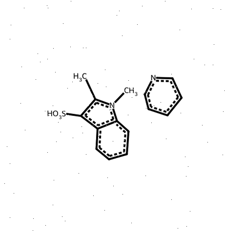 Cc1c(S(=O)(=O)O)c2ccccc2n1C.c1ccncc1